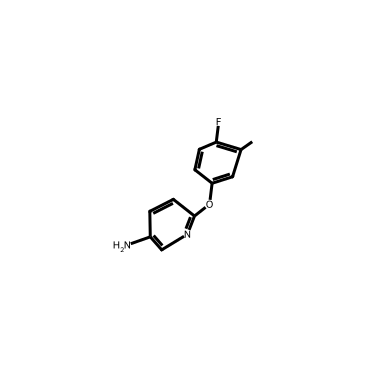 Cc1cc(Oc2ccc(N)cn2)ccc1F